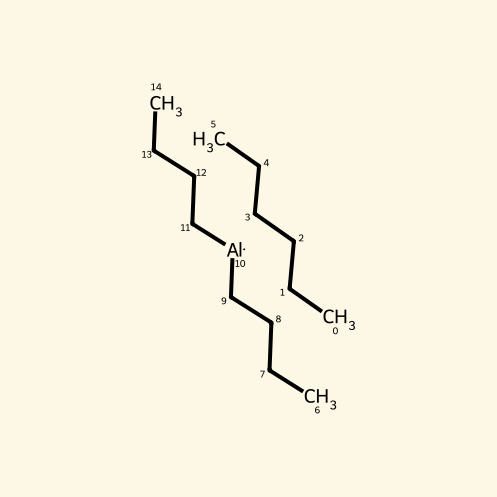 CCCCCC.CCC[CH2][Al][CH2]CCC